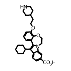 O=C(O)c1ccc2c(C3CCCCC3)c3n(c2c1)CCOc1c(OCCC2CCNCC2)cccc1-3